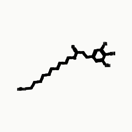 CCCCCCCCCCCCCCCCCCCCOC(=O)CCc1cc(CC)c(O)c(C(C)(C)C)c1